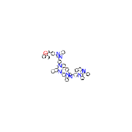 C=C(c1ccc(-c2cc(-c3ccc(N4C(=C)c5cc6ccccc6cc5/N=C(/c5ccc(-c6ccccc6-c6nc(-c7ccccc7)cc(C7C=CC(n8c9ccccc9c9c(-c%10ccccc%10)nc%10ccc%11ccccc%11c%10c98)=CC7)n6)cc5)Cc5ccccc54)cc3)nc(-c3ccccc3)n2)cc1)c1oc2ccccc2c1/C=C\C